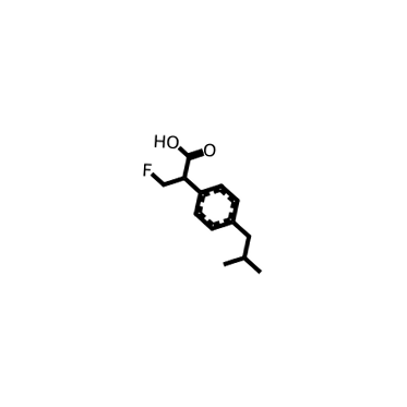 CC(C)Cc1ccc(C(CF)C(=O)O)cc1